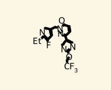 CCc1ncc(Cn2nc(-c3cnc(OCC(F)(F)F)nc3)ccc2=O)cc1F